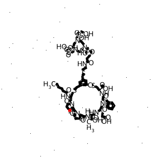 CCCCCC(=O)N[C@H]1CSCc2cc(CSCCNC(=O)CCP(=O)(O)CN3CCN(CP(=O)(O)CO)CCN(CP(=O)(O)CO)CC3)cc(c2)CSC[C@@H](C(=O)O)NC(=O)[C@H](Cc2ccccc2)NC(=O)[C@H](CCC(=O)O)NC(=O)[C@H]([C@@H](C)O)NC(=O)[C@@H]2CCCN2C(=O)[C@@H]2CCCN2C1=O